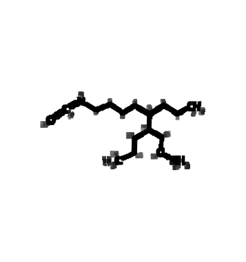 CCCC(CCCCN=C=O)C(CCC)CO[SiH3]